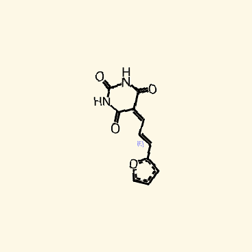 O=C1NC(=O)C(=C/C=C/c2ccco2)C(=O)N1